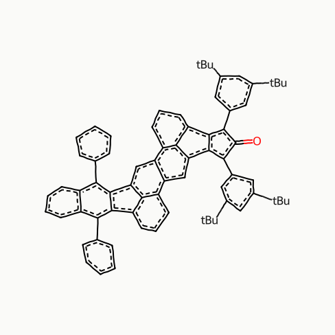 CC(C)(C)c1cc(-c2c(=O)c(-c3cc(C(C)(C)C)cc(C(C)(C)C)c3)c3c4cc5c(cc6c7c(-c8ccccc8)c8ccccc8c(-c8ccccc8)c7c7cccc5c76)c5cccc(c23)c54)cc(C(C)(C)C)c1